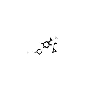 NC1CCN(c2cc3c(cc2F)c(=O)n(N)c(=O)n3C2CC2)C1